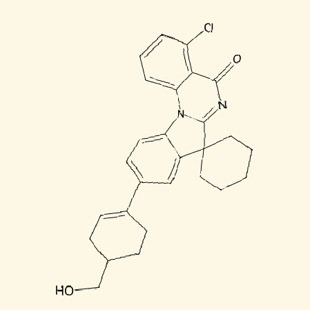 O=c1nc2n(c3cccc(Cl)c13)-c1ccc(C3=CCC(CO)CC3)cc1C21CCCCC1